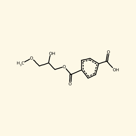 COCC(O)COC(=O)c1ccc(C(=O)O)cc1